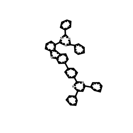 c1ccc(-c2cc(-c3ccccc3)nc(-c3ccc(-c4ccc5c(c4)sc4cccc(-c6nc(-c7ccccc7)nc(-c7ccccc7)n6)c45)cc3)n2)cc1